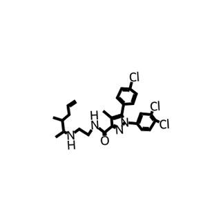 C=CCC(C)C(C)NCCNC(=O)c1nn(-c2ccc(Cl)c(Cl)c2)c(-c2ccc(Cl)cc2)c1C